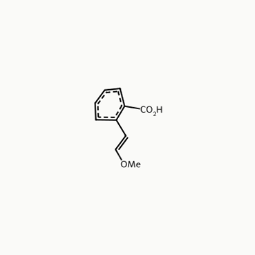 COC=Cc1ccccc1C(=O)O